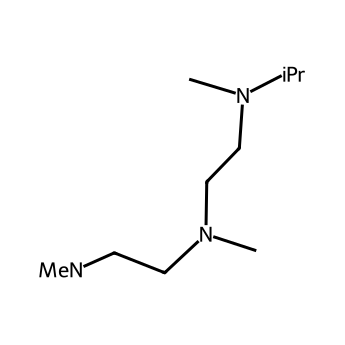 CNCCN(C)CCN(C)C(C)C